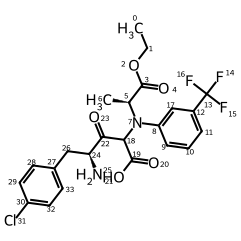 CCOC(=O)[C@H](C)N(c1cccc(C(F)(F)F)c1)C(C(=O)O)C(=O)[C@@H](N)Cc1ccc(Cl)cc1